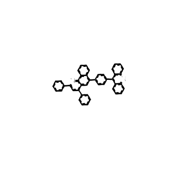 c1ccc(-c2cc(-c3ccccc3)c3cc(-c4ccc(-c5c6ccccc6nc6ccccc56)cc4)c4ccccc4c3n2)cc1